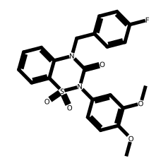 COc1ccc(N2C(=O)N(Cc3ccc(F)cc3)c3ccccc3S2(=O)=O)cc1OC